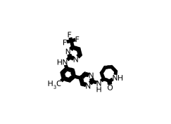 Cc1cc(Nc2nccc(C(F)(F)F)n2)cc(-c2cnc(NC3CCCCNC3=O)nc2)c1